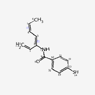 C=C/C(=C\C=C/C)NC(=O)c1ccc(S)cc1